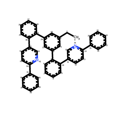 CCc1cc(-c2ccccc2-c2ccc(-c3ccccc3)nc2)cc(-c2ccccc2-c2ccc(-c3ccccc3)nc2)c1